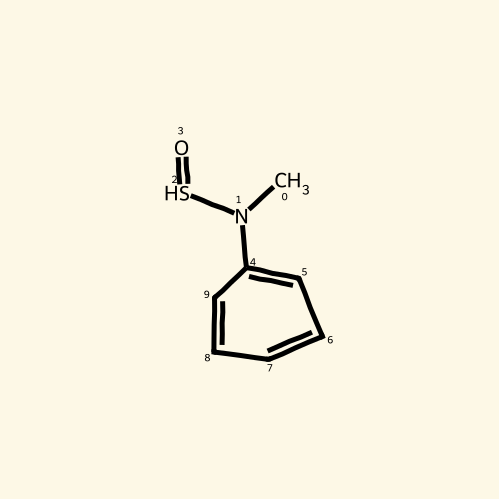 CN([SH]=O)c1ccccc1